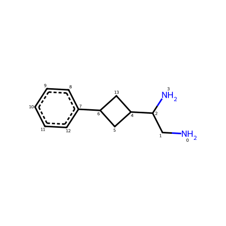 NCC(N)C1CC(c2ccccc2)C1